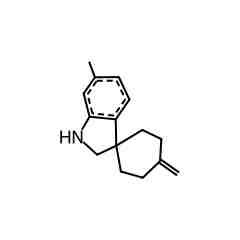 C=C1CCC2(CC1)CNc1cc(C)ccc12